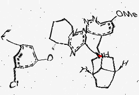 COc1cc(N2C[C@H]3CC[C@@H](C2)C3Nc2nc3n(n2)CCC[C@H]3Oc2cc(F)cc(Cl)c2)cnn1